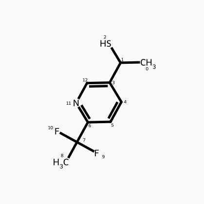 CC(S)c1ccc(C(C)(F)F)nc1